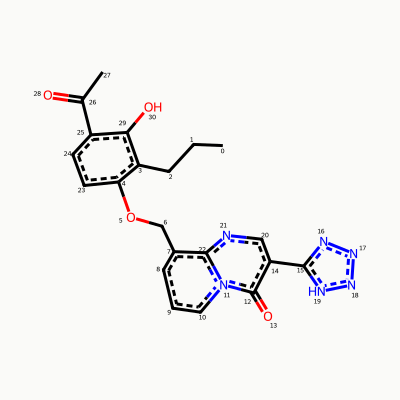 CCCc1c(OCc2cccn3c(=O)c(-c4nnn[nH]4)cnc23)ccc(C(C)=O)c1O